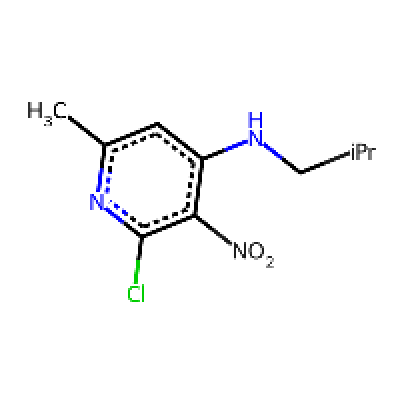 Cc1cc(NCC(C)C)c([N+](=O)[O-])c(Cl)n1